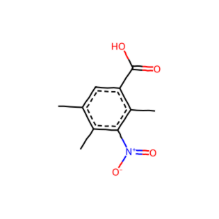 Cc1cc(C(=O)O)c(C)c([N+](=O)[O-])c1C